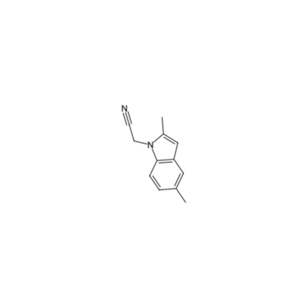 Cc1ccc2c(c1)cc(C)n2CC#N